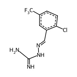 N=C(N)NN=Cc1cc(C(F)(F)F)ccc1Cl